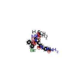 CC(C)(C)OC(=O)NC1C(=O)N2C(C(=O)OC(c3ccccc3)c3ccccc3)=C(C=C3CCN(Cc4cc[n+](CC(N)=O)cc4)C3=O)CSC12.[Br-]